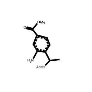 COC(=O)c1ccc(C(C)NC(C)=O)c(N)c1